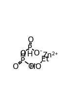 CCO.O=[PH]([O-])O[PH](=O)[O-].[Zn+2]